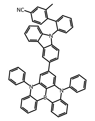 Cc1cc(C#N)ccc1-c1ccccc1-n1c2ccccc2c2cc(-c3cc4c5c(c3)N(c3ccccc3)c3ccccc3B5c3ccccc3N4c3ccccc3)ccc21